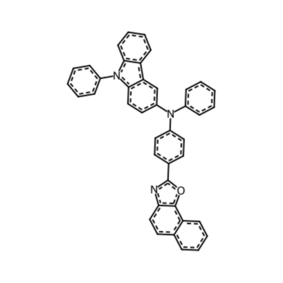 c1ccc(N(c2ccc(-c3nc4ccc5ccccc5c4o3)cc2)c2ccc3c(c2)c2ccccc2n3-c2ccccc2)cc1